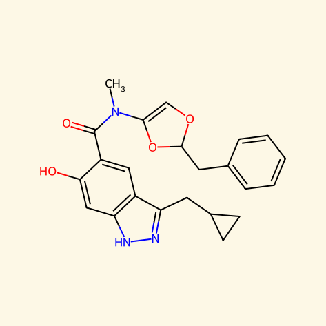 CN(C(=O)c1cc2c(CC3CC3)n[nH]c2cc1O)C1=COC(Cc2ccccc2)O1